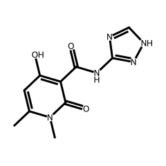 Cc1cc(O)c(C(=O)Nc2nc[nH]n2)c(=O)n1C